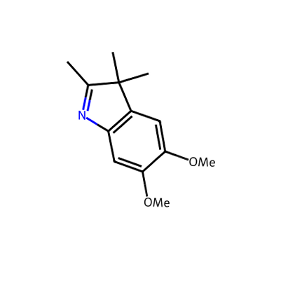 COc1cc2c(cc1OC)C(C)(C)C(C)=N2